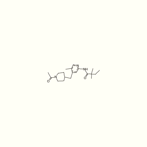 CCC(C)(C)C(=O)Nc1cc(CC2CCN(C(C)=O)CC2)c(C)cn1